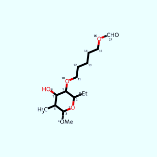 CCC1OC(OC)C(C)C(O)C1OCCCCCOC=O